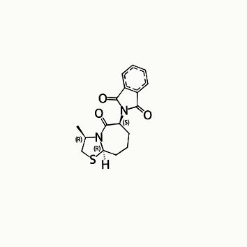 C[C@@H]1CS[C@@H]2CCC[C@H](N3C(=O)c4ccccc4C3=O)C(=O)N12